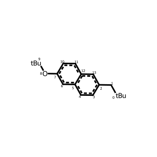 CC(C)(C)Cc1ccc2cc(OC(C)(C)C)ccc2c1